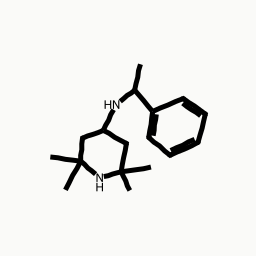 CC(NC1CC(C)(C)NC(C)(C)C1)c1ccccc1